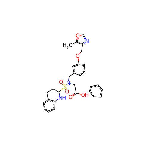 Cc1ocnc1COc1cccc(CN(CC(=O)O)S(=O)(=O)C2CCc3ccccc3N2)c1.c1ccccc1